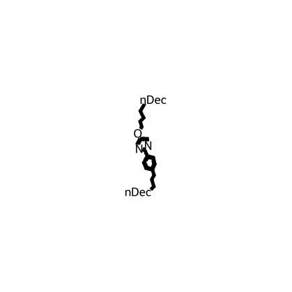 CCCCCCCCCCCCCCCOc1cnc(-c2ccc(CCCCCCCCCCCCC)cc2)nc1